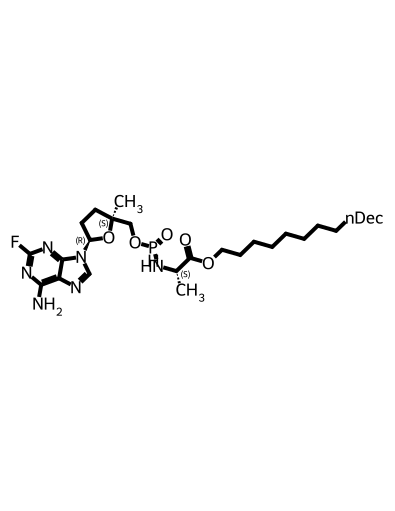 CCCCCCCCCCCCCCCCCCOC(=O)[C@H](C)N[PH](=O)OC[C@]1(C)CC[C@H](n2cnc3c(N)nc(F)nc32)O1